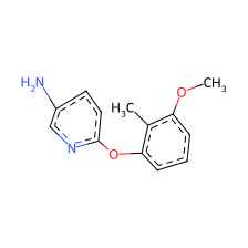 COc1cccc(Oc2ccc(N)cn2)c1C